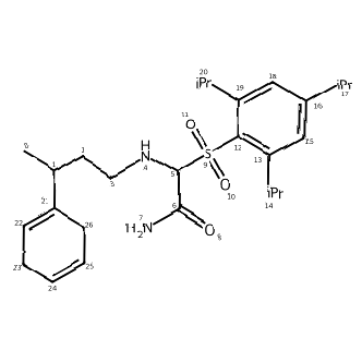 CC(CCNC(C(N)=O)S(=O)(=O)c1c(C(C)C)cc(C(C)C)cc1C(C)C)C1=CCC=CC1